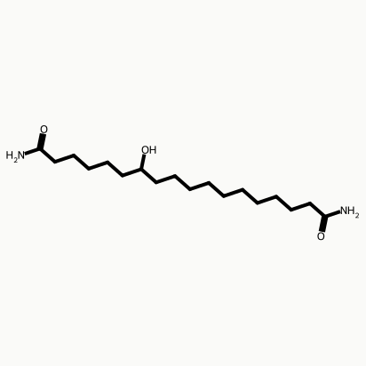 NC(=O)CCCCCCCCCCC(O)CCCCCC(N)=O